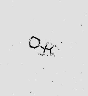 CC(C)C(C)(C)N1CCOCC1